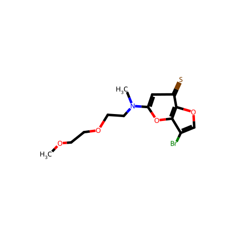 COCCOCCN(C)c1cc(=S)c2occ(Br)c2o1